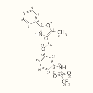 Cc1oc(-c2ccccc2)nc1COc1cccc(NS(=O)(=O)C(F)(F)F)c1